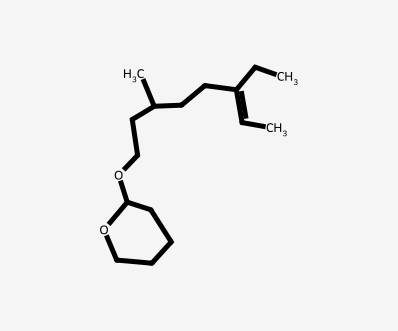 CC=C(CC)CCC(C)CCOC1CCCCO1